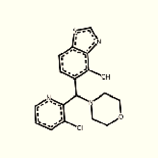 Oc1c(C(c2ncccc2Cl)N2CCOCC2)ccc2scnc12